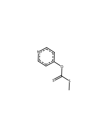 CSC(=S)Oc1ccncc1